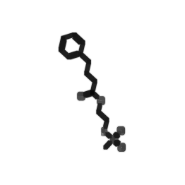 CS(=O)(=O)SCCOC(=O)CCCc1ccccc1